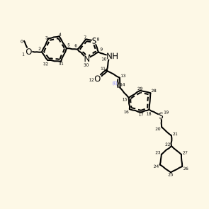 COc1ccc(-c2csc(NC(=O)/C=C/c3ccc(SCCC4CCCCC4)cc3)n2)cc1